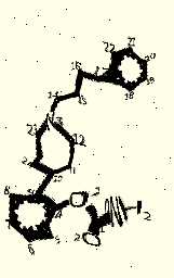 NC(=O)Oc1ccccc1C1CCN(C[CH]Cc2ccccc2)CC1